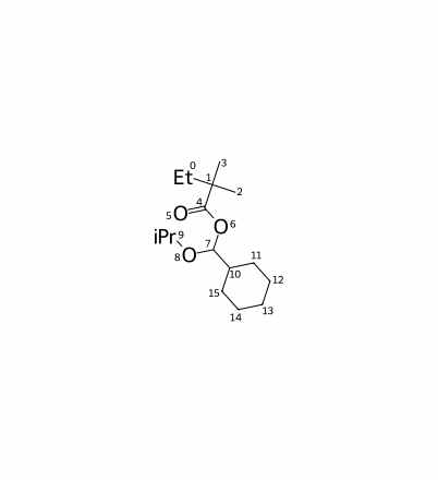 CCC(C)(C)C(=O)OC(OC(C)C)C1CCCCC1